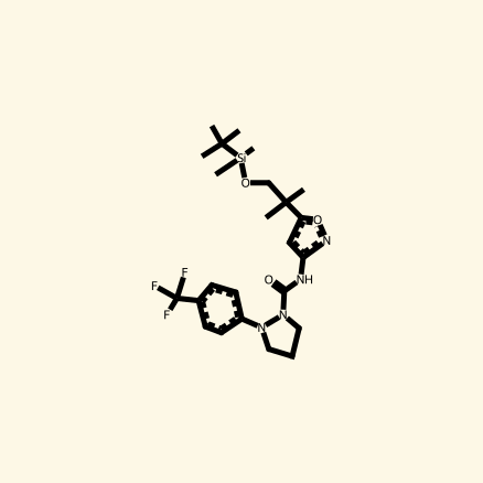 CC(C)(CO[Si](C)(C)C(C)(C)C)c1cc(NC(=O)N2CCCN2c2ccc(C(F)(F)F)cc2)no1